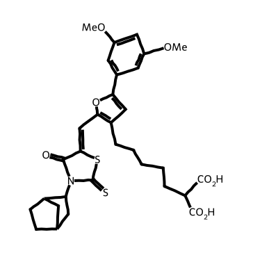 COc1cc(OC)cc(-c2cc(CCCCCC(C(=O)O)C(=O)O)c(C=C3SC(=S)N(C4CC5CCC4C5)C3=O)o2)c1